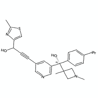 Cc1nc(C(O)C#Cc2cncc([C@@](O)(c3ccc(C(C)C)cc3)C3(C)CN(C)C3)c2)cs1